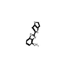 Cc1cccc2oc(-c3cc4sccc4s3)nc12